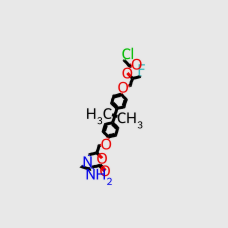 CC(C)(c1ccc(OCC(CF)OC(=O)CCl)cc1)c1ccc(OCC(CN2CC2)OC(=O)CN)cc1